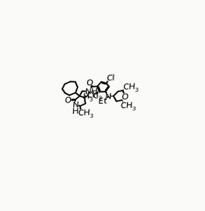 CCN(c1cc(Cl)cc(C(=O)NCC2(C3CCCCCCC3)C(=O)NC(C)CC2C)c1C)[C@@H]1C[C@@H](C)O[C@@H](C)C1